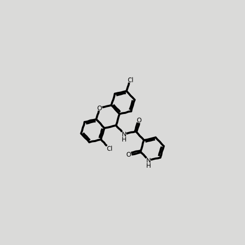 O=C(NC1c2ccc(Cl)cc2Oc2cccc(Cl)c21)c1ccc[nH]c1=O